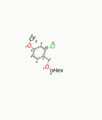 [CH2]CCCCCOCc1ccc(OC(F)(F)F)cc1Cl